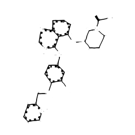 O=C(O)N1CCC[C@@H](Oc2cccc3ncnc(Nc4ccc(OCc5ccccn5)c(Cl)c4)c23)C1